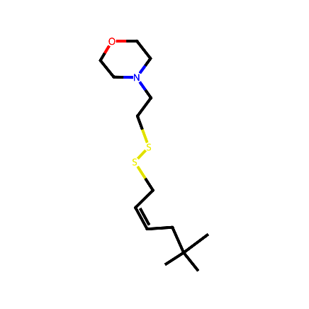 CC(C)(C)C/C=C\CSSCCN1CCOCC1